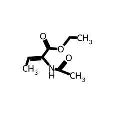 CC=C(NC(C)=O)C(=O)OCC